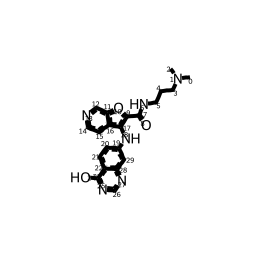 CN(C)CCCNC(=O)c1oc2cnccc2c1Nc1ccc2c(O)ncnc2c1